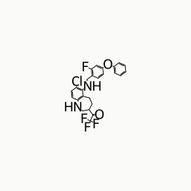 O=C(C1CCc2c(ccc(Cl)c2NCc2ccc(Oc3ccccc3)cc2F)NC1)C(F)(F)F